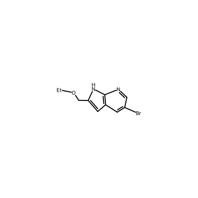 CCOCc1cc2cc(Br)cnc2[nH]1